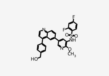 COc1ncc(-c2ccc3nccc(-c4ccc(CO)cc4)c3c2)cc1NS(=O)(=O)c1ccc(F)cc1F